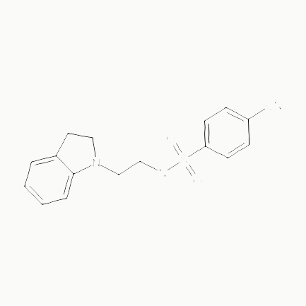 N#Cc1ccc(S(=O)(=O)NCCN2CCc3ccccc32)cc1